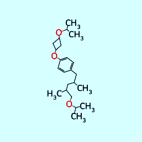 CC(COC(C)C)CC(C)Cc1ccc(OC2CC(OC(C)C)C2)cc1